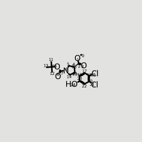 COC(=O)[C@@H]1CN(C(=O)OC(C)(C)C)C[C@H]1c1cc(Cl)c(Cl)cc1O